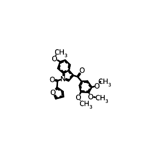 COc1ccc2c(C(=O)c3cc(OC)c(OC)c(OC)c3)cn(C(=O)c3ccco3)c2c1